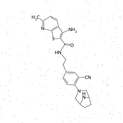 Cc1ccc2c(N)c(C(=O)NCCc3ccc(N4CC5CCC(C4)N5)c(C#N)c3)sc2n1